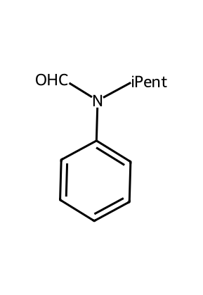 CCCC(C)N(C=O)c1ccccc1